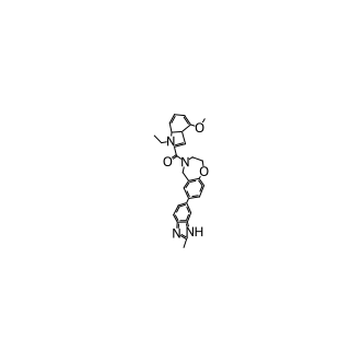 CCN1C(C(=O)N2CCOc3ccc(-c4ccc5nc(C)[nH]c5c4)cc3C2)=CC2C(OC)=CC=CC21